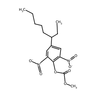 CCCCCC(CC)c1cc([N+](=O)[O-])c(OC(=O)OC)c([N+](=O)[O-])c1